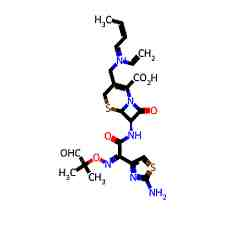 C=C/[N+](=C\C=C/C)CC1=C(C(=O)O)N2C(=O)[C@@H](NC(=O)/C(=N\OC(C)(C)C=O)c3csc(N)n3)C2SC1